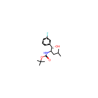 CC(C)CC(NC(=O)OC(C)(C)C)[C@@H](O)c1cccc(F)c1